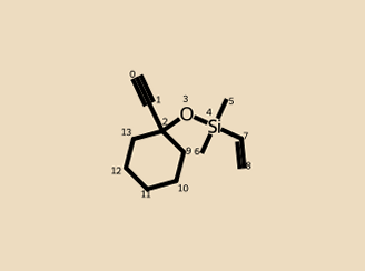 C#CC1(O[Si](C)(C)C=C)CCCCC1